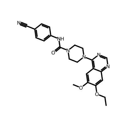 CCOc1cc2ncnc(N3CCN(C(=O)Nc4ccc(C#N)cc4)CC3)c2cc1OC